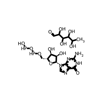 CC(O)C(O)C(O)C(O)C=O.Nc1nc2c(ncn2[C@@H]2O[C@H](COPOPO)[C@@H](O)[C@H]2O)c(=O)[nH]1